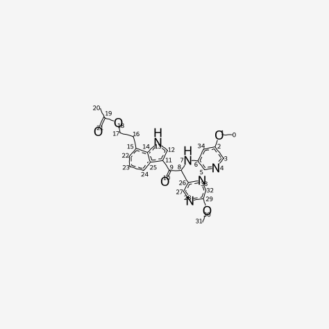 COc1cncc(NC(C(=O)c2c[nH]c3c(CCOC(C)=O)cccc23)c2cnc(OC)cn2)c1